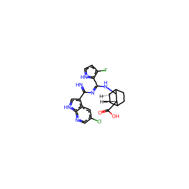 N=C(/N=C(/N[C@H]1C2CCC(CC2)[C@@H]1C(=O)O)c1[nH]ccc1F)c1c[nH]c2ncc(Cl)cc12